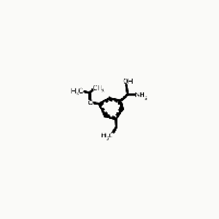 CCc1cc(OC(C)C)cc(C(N)O)c1